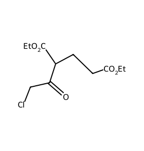 CCOC(=O)CCC(C(=O)CCl)C(=O)OCC